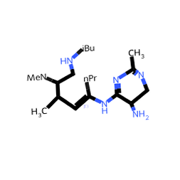 CCC/C(=C\C(C)C(CNC(C)CC)NC)NC1=NC(C)=NCC1N